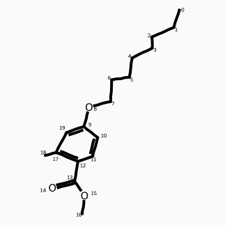 CCCCCCCCOc1ccc(C(=O)OC)c(C)c1